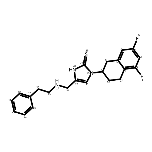 Fc1cc(F)c2c(c1)CC(n1cc(CNCCc3ccccc3)[nH]c1=S)CC2